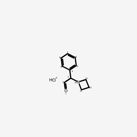 Cl.O=CC(c1ccccc1)N1CCC1